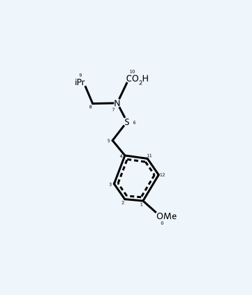 COc1ccc(CSN(CC(C)C)C(=O)O)cc1